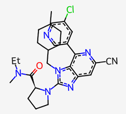 CCN(C)C(=O)[C@@H]1CCCN1c1nc2cc(C#N)nc(-c3cncc(Cl)c3)c2n1CC1CCC(C)CC1